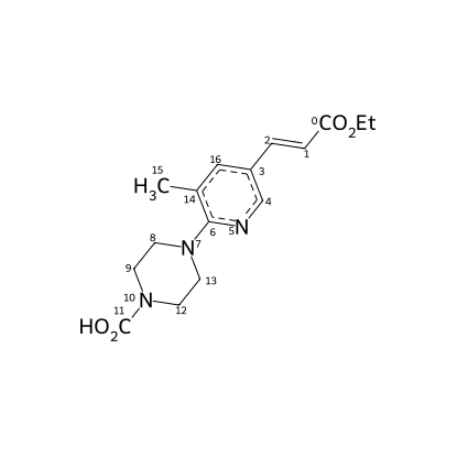 CCOC(=O)C=Cc1cnc(N2CCN(C(=O)O)CC2)c(C)c1